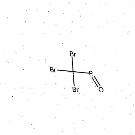 O=PC(Br)(Br)Br